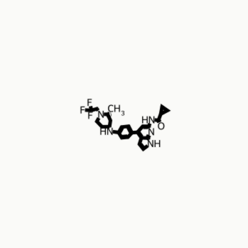 C[C@H]1CC(Nc2ccc(-c3cc(NC(=O)C4CC4)nc4[nH]ccc34)cc2)CCN1CC(F)(F)F